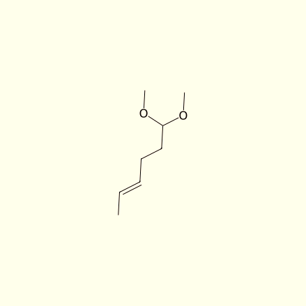 CC=CCCC(OC)OC